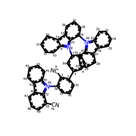 N#Cc1c(-c2cccc(-n3c4ccccc4c4cccc(-n5c6ccccc6c6ccccc65)c43)c2)cccc1-n1c2ccccc2c2cccc(C#N)c21